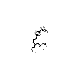 C=[PH](C)c1nnc(C/C=C\C(=C/CC)CC(C)C)o1